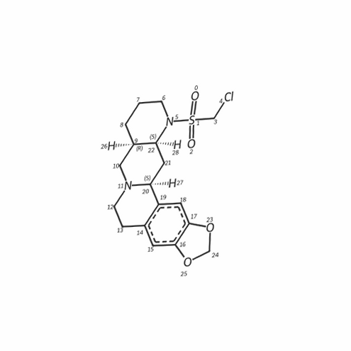 O=S(=O)(CCl)N1CCC[C@@H]2CN3CCc4cc5c(cc4[C@@H]3C[C@@H]21)OCO5